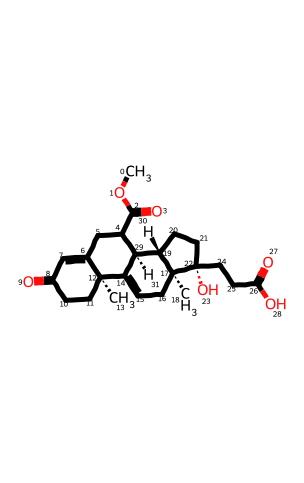 COC(=O)C1CC2=CC(=O)CC[C@]2(C)C2=CC[C@@]3(C)[C@@H](CC[C@@]3(O)CCC(=O)O)[C@@H]21